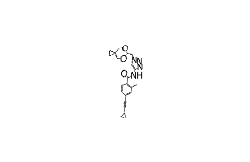 Cc1cc(C#CC2CC2)ccc1C(=O)Nc1cn(CC2OCC3(CC3)CO2)nn1